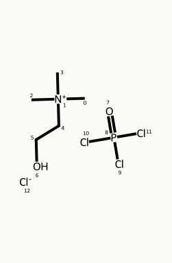 C[N+](C)(C)CCO.O=P(Cl)(Cl)Cl.[Cl-]